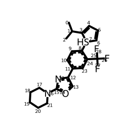 CC(C)C1=CC=C[SH]1c1ccc(-c2coc(N3CCCCC3)n2)cc1C(F)(F)F